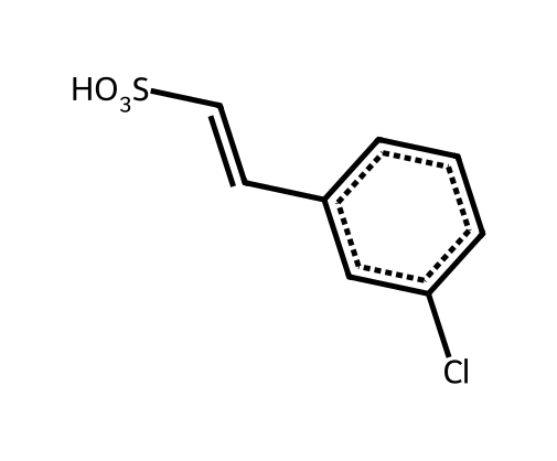 O=S(=O)(O)/C=C/c1cccc(Cl)c1